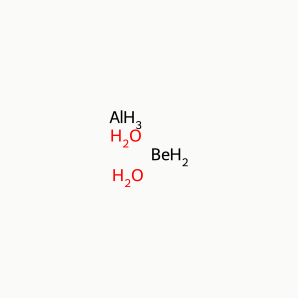 O.O.[AlH3].[BeH2]